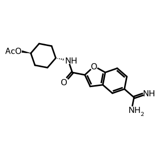 CC(=O)O[C@H]1CC[C@H](NC(=O)c2cc3cc(C(=N)N)ccc3o2)CC1